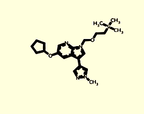 Cn1cc(-c2cn(COCC[Si](C)(C)C)c3ncc(OC4CCCC4)cc23)cn1